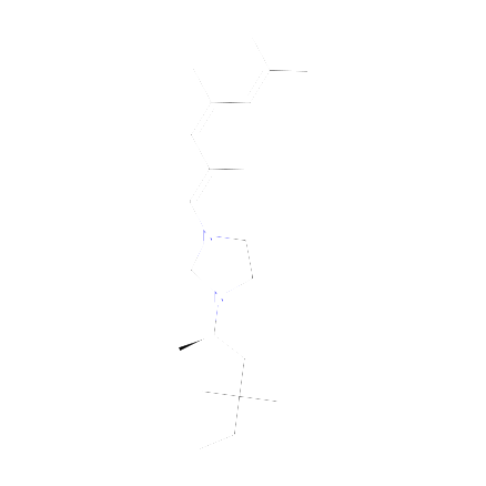 CCC(C)(C)C[C@@H](C)N1CCN(/C=C(C)/C=C(/C)C=C(C)C)C1